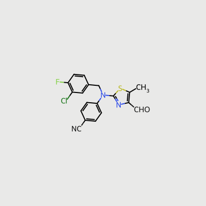 Cc1sc(N(Cc2ccc(F)c(Cl)c2)c2ccc(C#N)cc2)nc1C=O